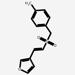 Cc1ccc(CS(=O)(=O)C=Cc2ccoc2)cc1